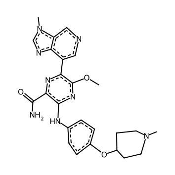 COc1nc(Nc2ccc(OC3CCN(C)CC3)cc2)c(C(N)=O)nc1-c1cncc2c1ncn2C